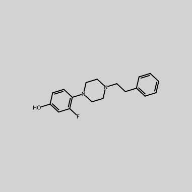 Oc1ccc(N2CCN(CCc3ccccc3)CC2)c(F)c1